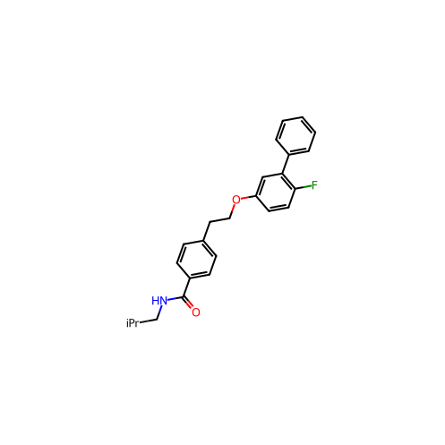 CC(C)CNC(=O)c1ccc(CCOc2ccc(F)c(-c3ccccc3)c2)cc1